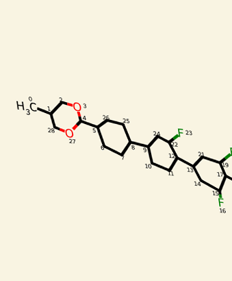 CC1COC(C2CCC(C3CCC(C4CC(F)C(F)C(F)C4)C(F)C3)CC2)OC1